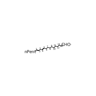 CCCCCC=CCC=CCCCCCCCCC[C]=O